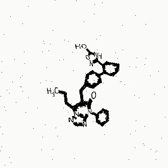 CCCc1c(Cc2ccc(-c3ccccc3C3=NOC(O)N3)cc2)c(=O)n(-c2ccccc2)c2ncnn12